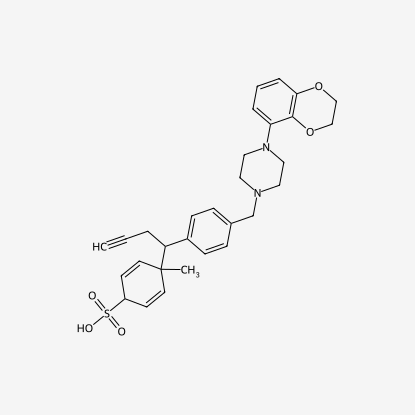 C#CCC(c1ccc(CN2CCN(c3cccc4c3OCCO4)CC2)cc1)C1(C)C=CC(S(=O)(=O)O)C=C1